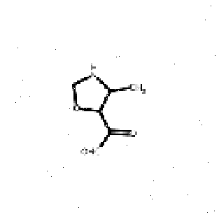 CC1NCOC1C(=O)C=O